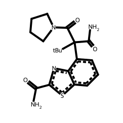 CC(C)(C)C(C(N)=O)(C(=O)N1CCCC1)c1cccc2sc(C(N)=O)nc12